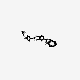 c1ccc2c(c1)SC(c1ccc3c(c1)OC(c1ccc4c(c1)OCO4)S3)S2